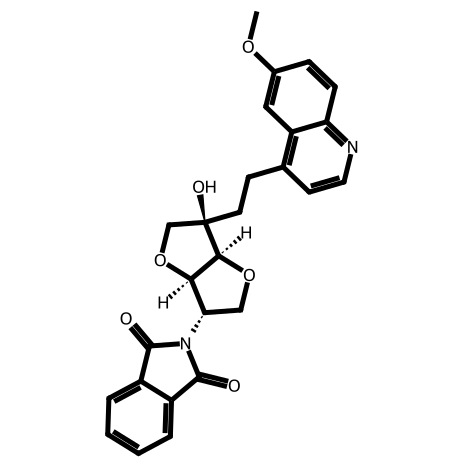 COc1ccc2nccc(CC[C@@]3(O)CO[C@@H]4[C@@H](N5C(=O)c6ccccc6C5=O)CO[C@@H]43)c2c1